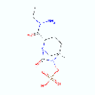 CCN(N)C(=O)[C@@H]1CC[C@@H]2CN1C(=O)N2OS(=O)(=O)O